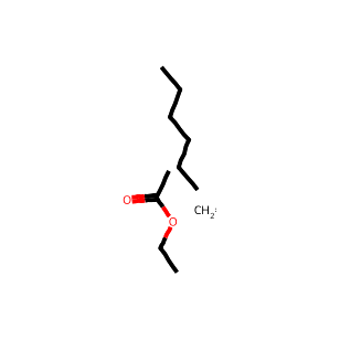 CCCCCC.CCOC(C)=O.[CH2]